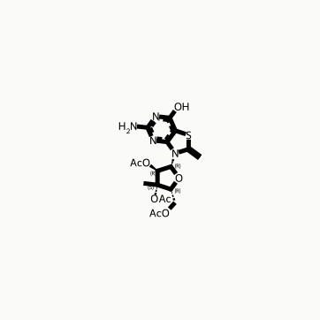 C=C1Sc2c(O)nc(N)nc2N1[C@@H]1O[C@H](COC(C)=O)[C@](C)(OC(C)=O)[C@H]1OC(C)=O